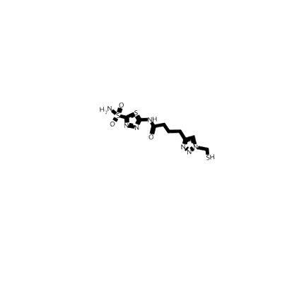 NS(=O)(=O)c1nnc(NC(=O)CCCc2cn(CS)nn2)s1